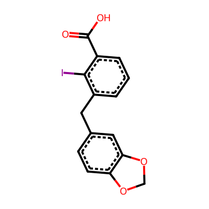 O=C(O)c1cccc(Cc2ccc3c(c2)OCO3)c1I